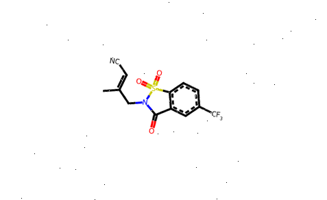 CC(=CC#N)CN1C(=O)c2cc(C(F)(F)F)ccc2S1(=O)=O